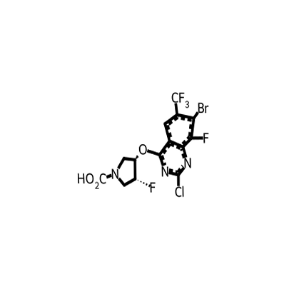 O=C(O)N1C[C@@H](F)[C@@H](Oc2nc(Cl)nc3c(F)c(Br)c(C(F)(F)F)cc23)C1